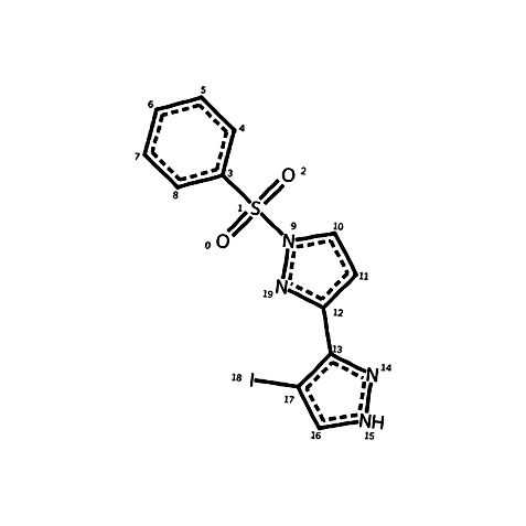 O=S(=O)(c1ccccc1)n1ccc(-c2n[nH]cc2I)n1